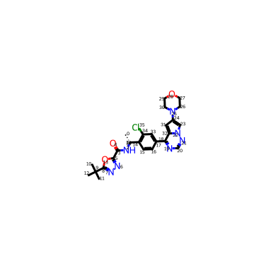 C[C@@H](NC(=O)c1nnc(C(C)(C)C)o1)c1ccc(-c2ncnn3cc(N4CCOCC4)cc23)cc1Cl